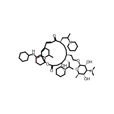 CC(CC1=C\[C@H](CNC2CCCCC2)COC(=O)C[C@@H](O)[C@@H](CC(C)N2CCCCC2)[C@H](CCO[C@@H]2O[C@H](C)[C@@H](O)[C@H](N(C)C)[C@H]2O)CC[C@H](CC(C)N2CCCCC2)C(=O)\C=C\1)N1CCCCC1